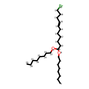 CCCCCCCCOC(CCCCC/C=C/CCCBr)OCCCCCCCC